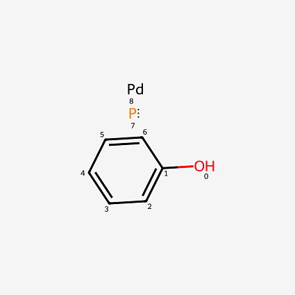 Oc1ccccc1.[P].[Pd]